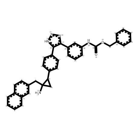 NC1(Cc2ccc3ccccc3c2)CC1c1ccc(-c2[nH]nnc2-c2cccc(NC(=O)OCc3ccccc3)c2)cc1